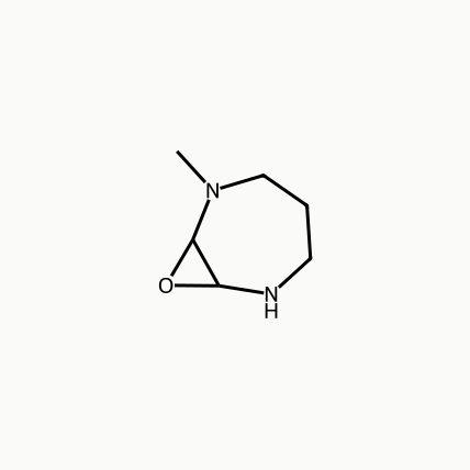 CN1CCCNC2OC21